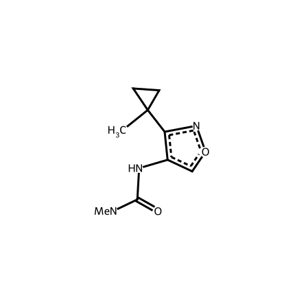 CNC(=O)Nc1conc1C1(C)CC1